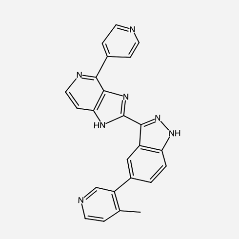 Cc1ccncc1-c1ccc2[nH]nc(-c3nc4c(-c5ccncc5)nccc4[nH]3)c2c1